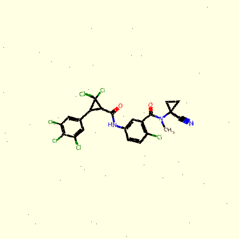 CN(C(=O)c1cc(NC(=O)C2C(c3cc(Cl)c(Cl)c(Cl)c3)C2(Cl)Cl)ccc1Cl)C1(C#N)CC1